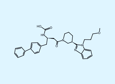 COCCCn1c([C@@H]2CCCN(C(=O)C[C@@H](Cc3ccc(-c4ccccc4)cc3)NC(=O)O)C2)nc2ccccc21